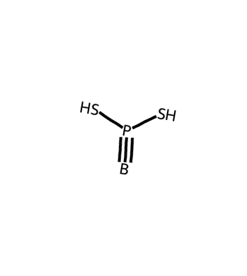 B#P(S)S